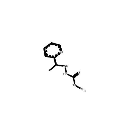 CC(NNC(=S)NN)c1ccccn1